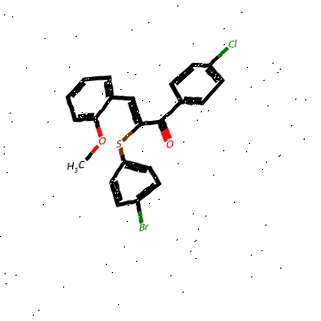 COc1ccccc1C=C(Sc1ccc(Br)cc1)C(=O)c1ccc(Cl)cc1